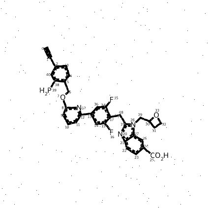 C#Cc1ccc(COc2cccc(-c3cc(F)c(Cc4nc5ccc(C(=O)O)cc5n4CC4CCO4)c(F)c3)n2)c(P)c1